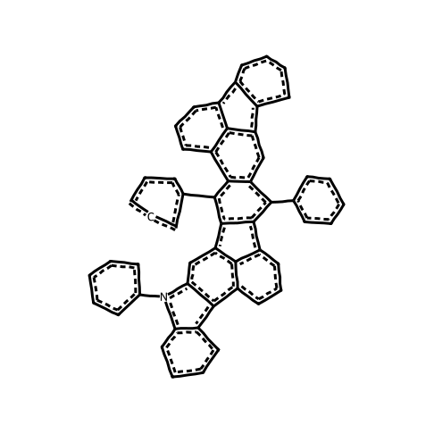 c1ccc(-c2c3cc4c5ccccc5c5cccc(c3c(-c3ccccc3)c3c6cc7c(c8cccc(c23)c68)c2ccccc2n7-c2ccccc2)c54)cc1